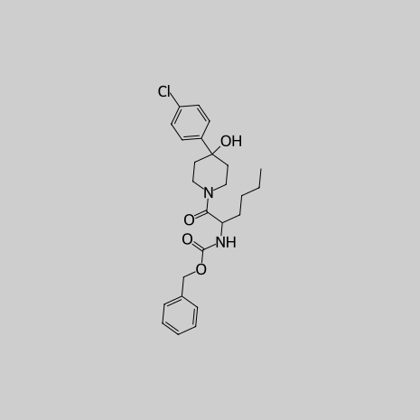 CCCCC(NC(=O)OCc1ccccc1)C(=O)N1CCC(O)(c2ccc(Cl)cc2)CC1